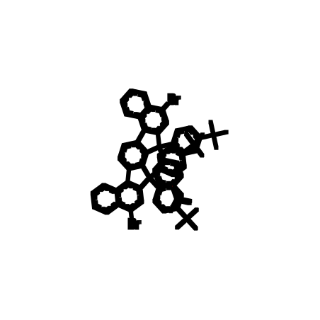 C=C(C)c1ccc(C2(c3ccc(C(C)(C)C)cc3)c3cc(Br)c4ccccc4c3-c3ccc4c(c32)C(c2ccc(C(C)(C)C)cc2)(c2ccc(C(C)(C)C)cc2)c2cc(Br)c3ccccc3c2-4)cc1